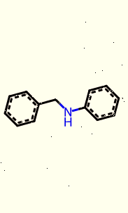 [c]1ccc(NCc2ccccc2)cc1